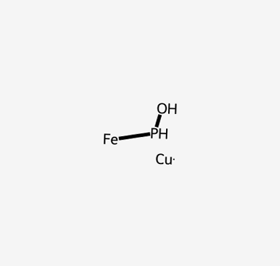 O[PH][Fe].[Cu]